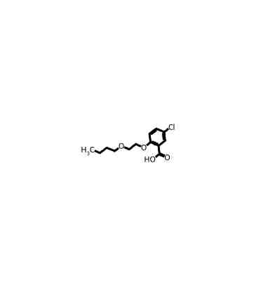 CCCCOCCOc1ccc(Cl)cc1C(=O)O